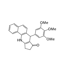 COc1cc(C2C3=C(CCC3=O)Nc3c2ccc2ccccc32)cc(OC)c1OC